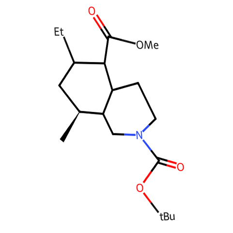 CCC1C[C@H](C)C2CN(C(=O)OC(C)(C)C)CCC2C1C(=O)OC